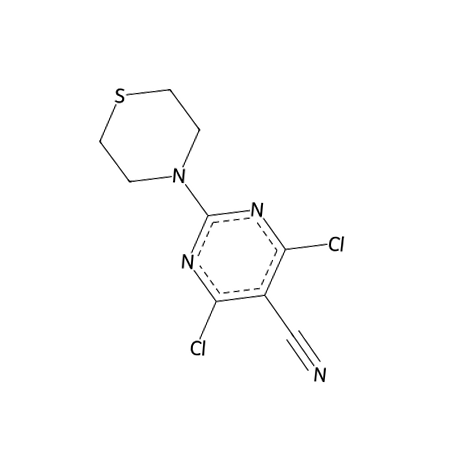 N#Cc1c(Cl)nc(N2CCSCC2)nc1Cl